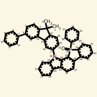 CC1(C)c2ccc(-c3ccccc3)cc2-c2cc(-n3c4ccccc4c4ccc5c(c43)P(=O)(c3ccccc3)c3ccccc3-5)ccc21